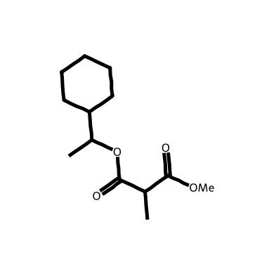 COC(=O)C(C)C(=O)OC(C)C1CCCCC1